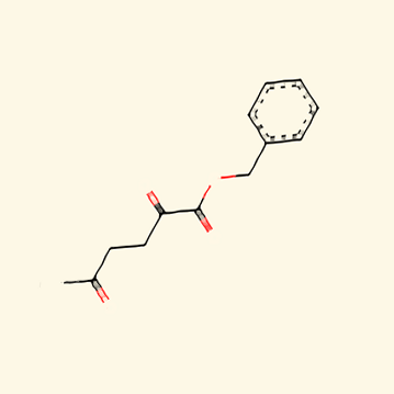 CCCCC(=O)CCC(=O)C(=O)OCc1ccccc1